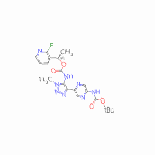 C[C@@H](OC(=O)Nc1c(-c2cnc(NC(=O)OC(C)(C)C)cn2)nnn1C)c1cccnc1F